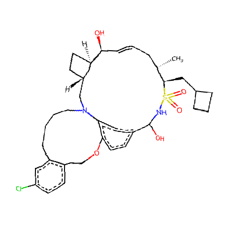 C[C@H]1C/C=C/[C@H](O)[C@@H]2CC[C@H]2CN2CCCCc3cc(Cl)ccc3COc3ccc(cc32)C(O)NS(=O)(=O)[C@@H]1CC1CCC1